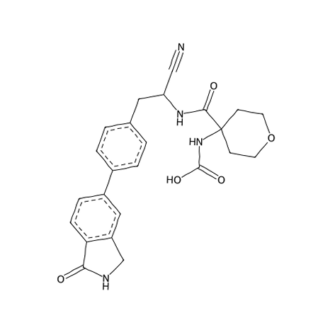 N#CC(Cc1ccc(-c2ccc3c(c2)CNC3=O)cc1)NC(=O)C1(NC(=O)O)CCOCC1